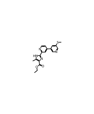 CCOC(=O)c1nc(-c2cc(-c3cncc(SC)c3)ccn2)[nH]c1C